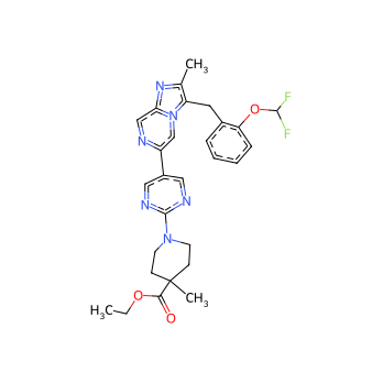 CCOC(=O)C1(C)CCN(c2ncc(-c3cn4c(Cc5ccccc5OC(F)F)c(C)nc4cn3)cn2)CC1